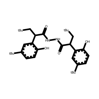 CC(C)(C)CC(C(=O)NNC(=O)C(CC(C)(C)C)c1cc(C(C)(C)C)ccc1O)c1cc(C(C)(C)C)ccc1O